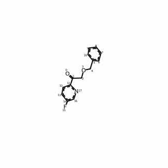 O=C(COCc1ccccc1)c1ccc(F)cn1